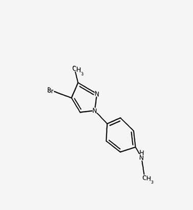 CNc1ccc(-n2cc(Br)c(C)n2)cc1